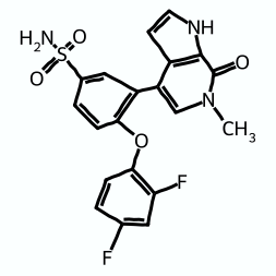 Cn1cc(-c2cc(S(N)(=O)=O)ccc2Oc2ccc(F)cc2F)c2cc[nH]c2c1=O